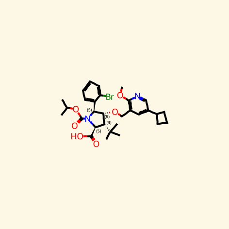 COc1ncc(C2CCC2)cc1CO[C@@H]1[C@H](C(C)(C)C)[C@@H](C(=O)O)N(C(=O)OC(C)C)[C@H]1c1ccccc1Br